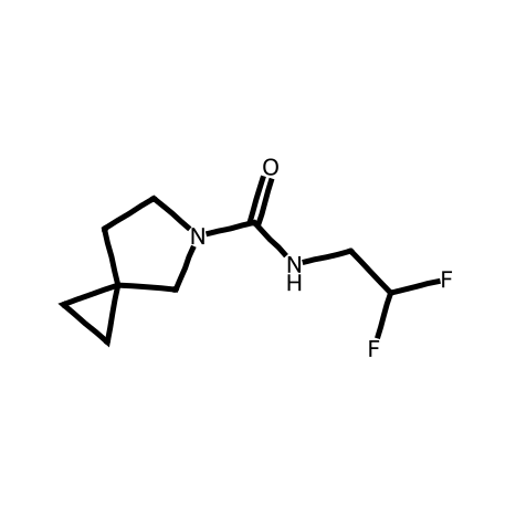 O=C(NCC(F)F)N1CCC2(CC2)C1